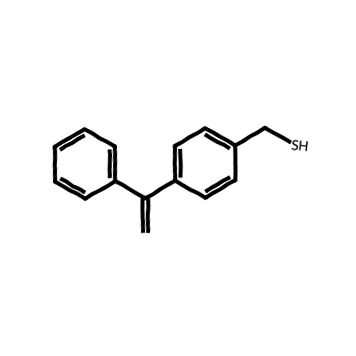 C=C(c1ccccc1)c1ccc(CS)cc1